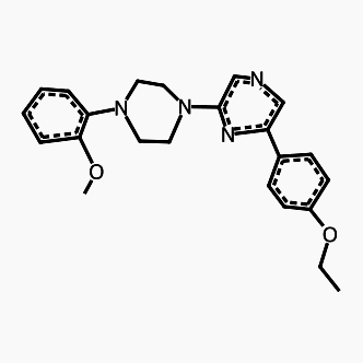 CCOc1ccc(-c2cncc(N3CCN(c4ccccc4OC)CC3)n2)cc1